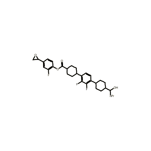 CCCC(O)C1CCC(c2ccc(C3CCC(C(=O)Oc4ccc(C5CO5)cc4F)CC3)c(F)c2F)CC1